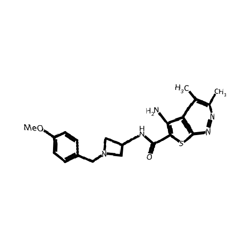 COc1ccc(CN2CC(NC(=O)c3sc4nnc(C)c(C)c4c3N)C2)cc1